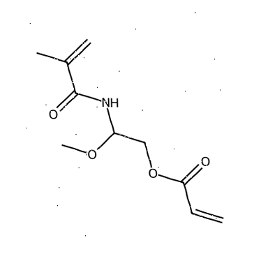 C=CC(=O)OCC(NC(=O)C(=C)C)OC